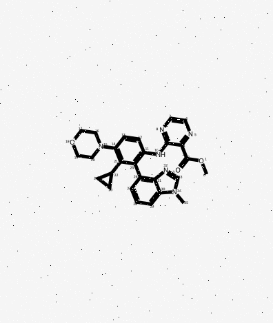 COC(=O)c1nccnc1Nc1ccc(N2CCOCC2)c(C2CC2)c1-c1cccc2c1ncn2C